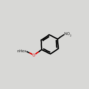 [CH2]CCCCCOc1ccc([N+](=O)[O-])cc1